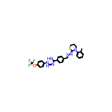 Cc1ccccc1N1CCCS/C1=N\N=C\c1ccc(C(=N)/N=C\Nc2ccc(OC(F)(F)F)cc2)cc1